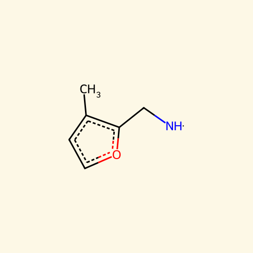 Cc1ccoc1C[NH]